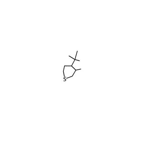 CC1CSCCC1C(C)(C)C